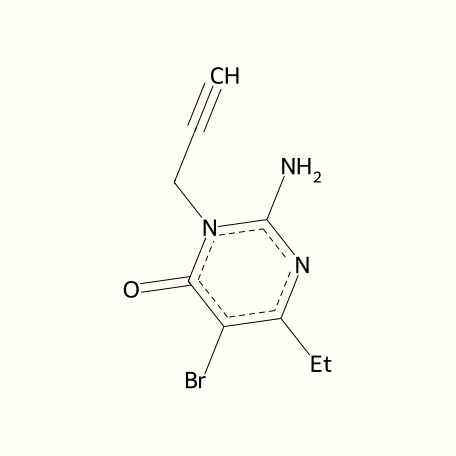 C#CCn1c(N)nc(CC)c(Br)c1=O